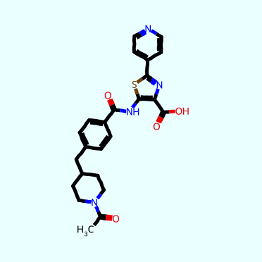 CC(=O)N1CCC(Cc2ccc(C(=O)Nc3sc(-c4ccncc4)nc3C(=O)O)cc2)CC1